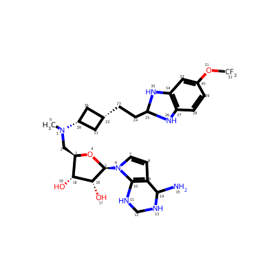 CN(C[C@H]1O[C@@H](n2ccc3c2NCNC3N)[C@H](O)[C@@H]1O)[C@H]1C[C@@H](CCC2Nc3ccc(OC(F)(F)F)cc3N2)C1